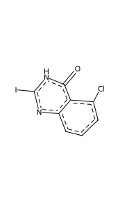 O=c1[nH]c(I)nc2cccc(Cl)c12